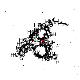 CCCCCCCC(C)NC(=O)Oc1cc(C)c2c(c1)[C@@H](C(=O)O)NC(=O)[C@H]1NC(=O)[C@H](NC(=O)[C@@H]3NC(=O)[C@H](CC(N)=O)NC(=O)[C@H](NC(=O)[C@@H](CC(C)C)NC)[C@H](O)c4ccc(c(C)c4)Oc4cc3cc(c4O[C@@H]3O[C@H](CO)[C@@H](O)[C@H](O)[C@H]3O[C@H]3C[C@](C)(N)[C@H](O)[C@H](C)O3)Oc3ccc(cc3Cl)[C@H]1O)c1ccc(O)c-2c1